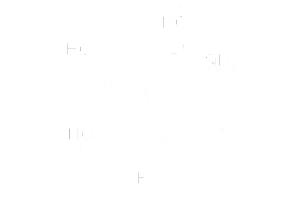 OC(O)C(F)C(F)F.O[SiH3]